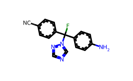 N#Cc1ccc(C(F)(c2ccc(N)cc2)n2cncn2)cc1